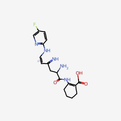 N=C(/C=C\Nc1ccc(F)cn1)CC(N)C(=O)NC1=C(C(=O)O)CCCC1